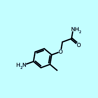 Cc1cc(N)ccc1OCC(N)=O